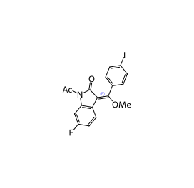 CO/C(=C1/C(=O)N(C(C)=O)c2cc(F)ccc21)c1ccc(I)cc1